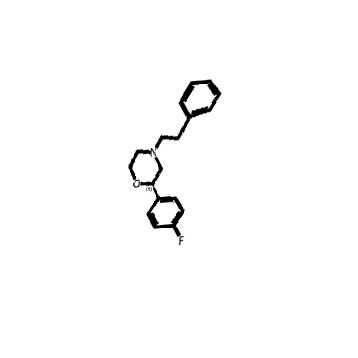 Fc1ccc([C@@H]2CN(CCc3ccccc3)CCO2)cc1